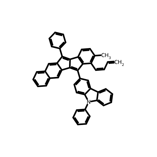 C=C/C=C\c1c(C)ccc2c1C(c1ccc3c(c1)c1ccccc1n3-c1ccccc1)=C1C2=C(c2ccccc2)c2cc3ccccc3cc21